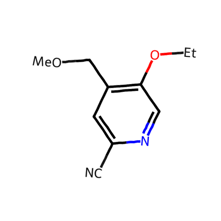 CCOc1cnc(C#N)cc1COC